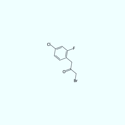 O=C(CBr)Cc1ccc(Cl)cc1F